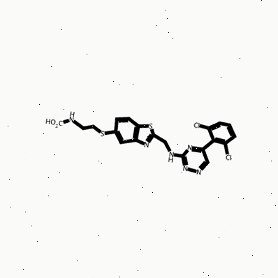 O=C(O)NCCSc1ccc2sc(CNc3nncc(-c4c(Cl)cccc4Cl)n3)nc2c1